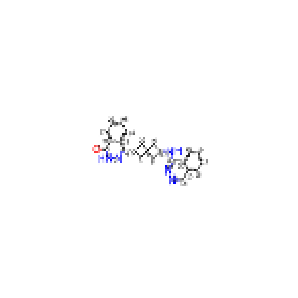 O=c1[nH]nc([C@H]2CC3(C[C@H](Nc4nncc5ccccc45)C3)C2)c2ccccc12